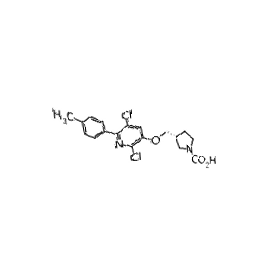 Cc1ccc(-c2nc(Cl)c(OC[C@@H]3CCN(C(=O)O)C3)cc2Cl)cc1